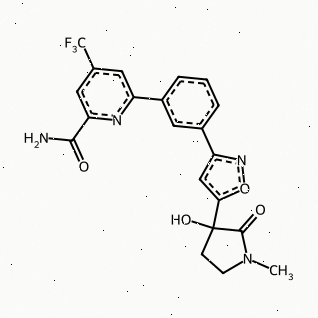 CN1CCC(O)(c2cc(-c3cccc(-c4cc(C(F)(F)F)cc(C(N)=O)n4)c3)no2)C1=O